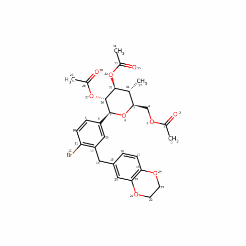 CC(=O)OC[C@H]1O[C@@H](c2ccc(Br)c(Cc3ccc4c(c3)OCCO4)c2)[C@H](OC(C)=O)[C@@H](OC(C)=O)[C@@H]1C